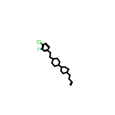 C=CCCC1CCC(C2CCC(CCc3ccc(Cl)c(F)c3)CC2)CC1